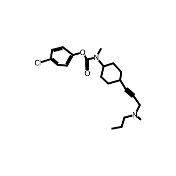 CCCN(C)CC#CC1CCC(N(C)C(=O)Oc2ccc(Cl)cc2)CC1